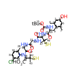 Cc1cc(O)cc(C)c1C[C@H](NC(=O)OC(C)(C)C)C(=O)N[C@@H](C(=O)NCC(=O)N[C@@H](Cc1ccc(Cl)cc1)C(=O)N[C@@H](C(=O)O)C(C)(C)S)C(C)(C)S